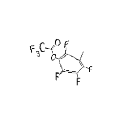 Cc1c(F)c(F)c(F)c(OC(=O)C(F)(F)F)c1F